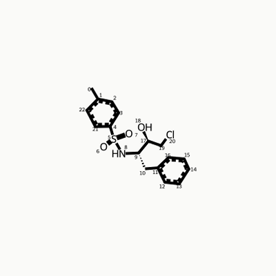 Cc1ccc(S(=O)(=O)N[C@@H](Cc2ccccc2)[C@@H](O)CCl)cc1